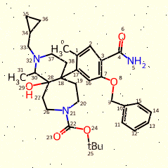 Cc1cc(C(N)=O)c(OCc2ccccc2)cc1C12CCN(C(=O)OC(C)(C)C)CCC1(O)C(C)N(CC1CC1)CC2